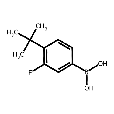 CC(C)(C)c1ccc(B(O)O)cc1F